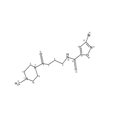 CN1CCN(C(=O)CCCNC(=O)c2cc(Br)no2)CC1